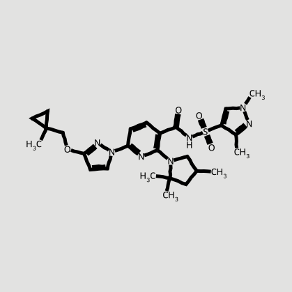 Cc1nn(C)cc1S(=O)(=O)NC(=O)c1ccc(-n2ccc(OCC3(C)CC3)n2)nc1N1CC(C)CC1(C)C